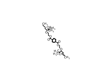 CCCCC(OCCOC(=O)c1ccc(C(=O)OCCOC(CCCC)C(C)(C)C)cc1)C(C)(C)C